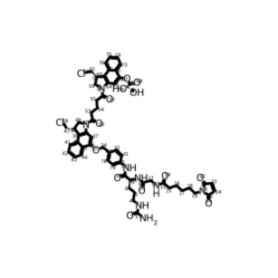 NC(=O)NCCC[C@H](NC(=O)CNC(=O)CCCCCN1C(=O)C=CC1=O)C(=O)Nc1ccc(COc2cc3c(c4ccccc24)[C@H](CCl)CN3C(=O)CCCC(=O)N2C[C@@H](CCl)c3c2cc(OP(=O)(O)O)c2ccccc32)cc1